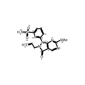 C=CCn1c(=O)c2cnc(SC)nc2n1-c1cccc(S(N)(=O)=O)n1